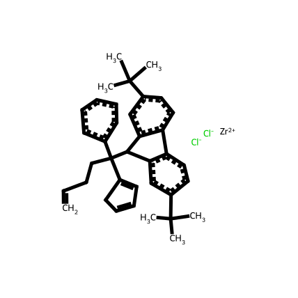 C=CCCC(C1=CC=CC1)(c1ccccc1)C1c2cc(C(C)(C)C)ccc2-c2ccc(C(C)(C)C)cc21.[Cl-].[Cl-].[Zr+2]